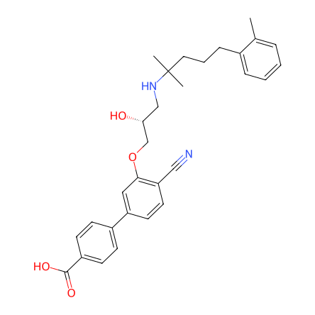 Cc1ccccc1CCCC(C)(C)NC[C@@H](O)COc1cc(-c2ccc(C(=O)O)cc2)ccc1C#N